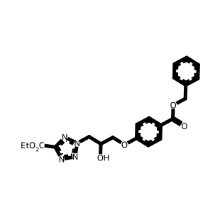 CCOC(=O)c1nnn(CC(O)COc2ccc(C(=O)OCc3ccccc3)cc2)n1